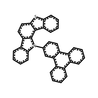 c1ccc2c(c1)sc1ccc3c4ccccc4n(-c4ccc5c6ccccc6c6ccccc6c5c4)c3c12